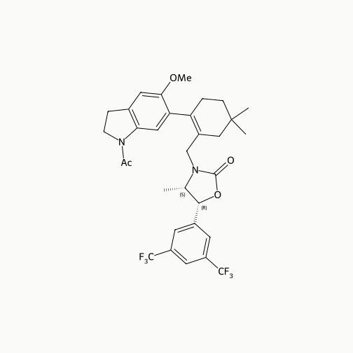 COc1cc2c(cc1C1=C(CN3C(=O)O[C@H](c4cc(C(F)(F)F)cc(C(F)(F)F)c4)[C@@H]3C)CC(C)(C)CC1)N(C(C)=O)CC2